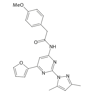 COc1ccc(CC(=O)Nc2cc(-c3ccco3)nc(-n3nc(C)cc3C)n2)cc1